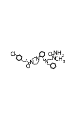 CN(CCN(Cc1ccccc1)Cc1ccccc1N1CCCN(C(=O)[CH]Cc2ccc(Cl)cc2)CC1)C(N)=O